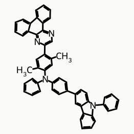 Cc1cc(N(c2ccccc2)c2ccc(-c3ccc4c(c3)c3ccccc3n4-c3ccccc3)cc2)c(C)cc1-c1cnc2c3ccccc3c3ccccc3c2n1